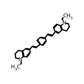 CCN1CCCc2cc(/C=C/c3ccc(/C=C/c4ccc5c(c4)CCCN5CC)cc3)ccc21